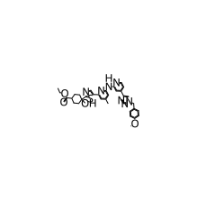 CCOC(=O)C1CCC(O)(c2ncc(-c3cc(C)cc(Nc4cc(-c5cn(Cc6ccc(OC)cc6)nn5)ccn4)n3)s2)CC1